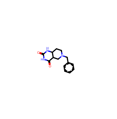 O=C1NC(=O)C2CN(Cc3ccccc3)CCC2N1